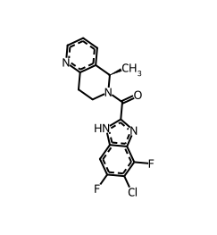 C[C@@H]1c2cccnc2CCN1C(=O)c1nc2c(F)c(Cl)c(F)cc2[nH]1